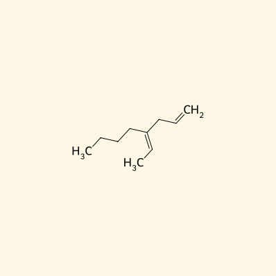 C=CCC(=CC)CCCC